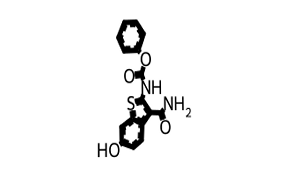 NC(=O)c1c(NC(=O)Oc2ccccc2)sc2cc(O)ccc12